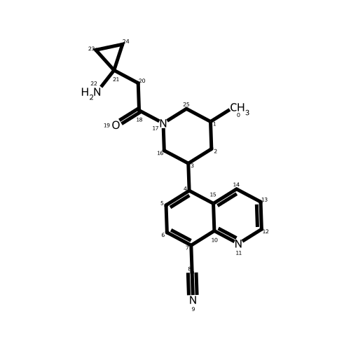 CC1CC(c2ccc(C#N)c3ncccc23)CN(C(=O)CC2(N)CC2)C1